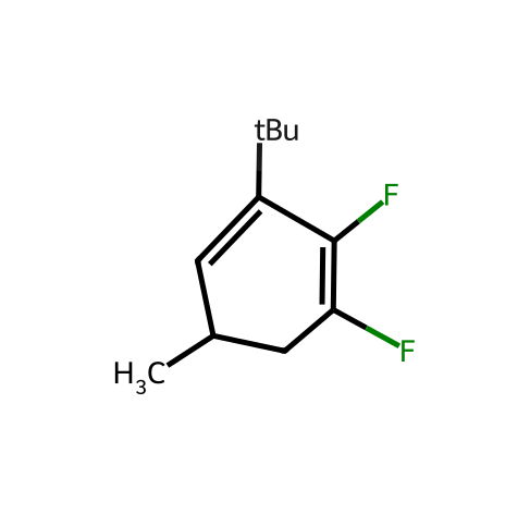 CC1C=C(C(C)(C)C)C(F)=C(F)C1